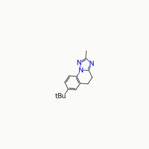 Cc1nc2n(n1)-c1ccc(C(C)(C)C)cc1CC2